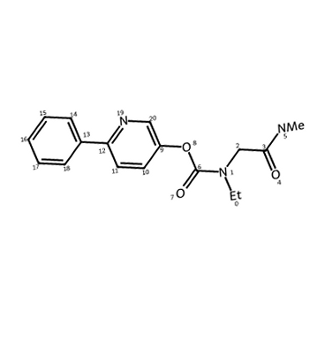 CCN(CC(=O)NC)C(=O)Oc1ccc(-c2ccccc2)nc1